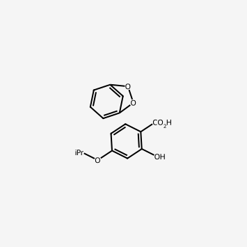 CC(C)Oc1ccc(C(=O)O)c(O)c1.c1cc2cc(c1)OO2